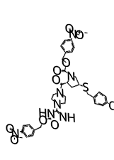 COc1ccc(CS[C@H]2C[C@@H](C(=O)N3CCN(C(=N)NC(=O)OCc4ccc([N+](=O)[O-])cc4)CC3)N(C(=O)OCc3ccc([N+](=O)[O-])cc3)C2)cc1